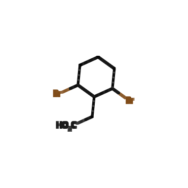 O=C(O)CC1C(Br)CCCC1Br